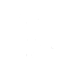 N=C(C(=O)O)c1ccc(C(=O)O)cc1